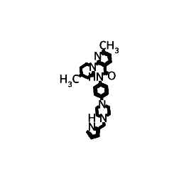 Cc1ccc(C(=O)Nc2ccc(N3CCN(Cc4ccc[nH]4)CC3)cc2)c(N2CCC(C)CC2)n1